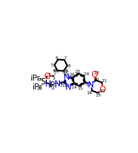 CC(C)[Si](OC[C@@H]1CCCC[C@@H]1n1c(N)nc2cc(N3CCOCC3=O)ccc21)(C(C)C)C(C)C